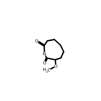 COC1CCCCCC(=O)[N]C1=O